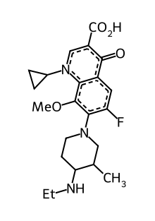 CCNC1CCN(c2c(F)cc3c(=O)c(C(=O)O)cn(C4CC4)c3c2OC)CC1C